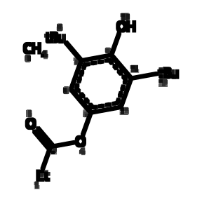 C.CCC(=O)Oc1cc(C(C)(C)C)c(O)c(C(C)(C)C)c1